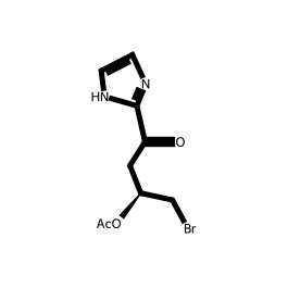 CC(=O)O[C@H](CBr)CC(=O)c1ncc[nH]1